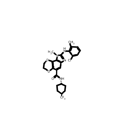 Cc1cccc(Cl)c1Nc1nc2cc(C(=O)N[C@H]3CC[C@H](C(F)(F)F)CC3)c3c(c2n1C)OCCO3